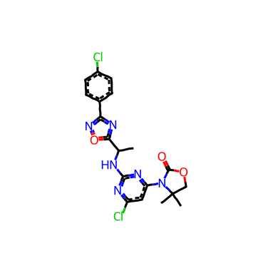 CC(Nc1nc(Cl)cc(N2C(=O)OCC2(C)C)n1)c1nc(-c2ccc(Cl)cc2)no1